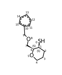 S[C@H]1CCCO[C@H]1COCc1ccccc1